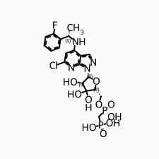 C[C@H](Nc1cc(Cl)nc2c1cnn2[C@@H]1O[C@H](COP(=O)(O)CP(=O)(O)O)C(O)(O)[C@H]1O)c1ccccc1F